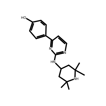 CC1(C)CC(Nc2nccc(-c3ccc(O)cc3)n2)CC(C)(C)N1